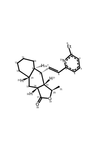 CCc1cccc(C=C[C@H]2[C@@H]3CCCC[C@H]3C[C@H]3C(=O)O[C@H](C)[C@@H]23)n1